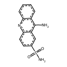 Nc1c2ccccc2nc2ccc(S(N)(=O)=O)cc12